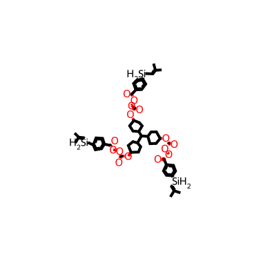 CC(C)=C[SiH2]c1ccc(C(=O)OOC(=O)OC2CCC(C(C3CCC(OC(=O)OOC(=O)c4ccc([SiH2]C=C(C)C)cc4)CC3)C3CCC(OC(=O)OOC(=O)c4ccc([SiH2]C=C(C)C)cc4)CC3)CC2)cc1